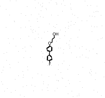 OCCCOc1ccc(-c2ccc(F)cc2)cc1